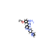 CC(C)Oc1ccc(N)c(C(=N)c2ccnc(N3CCC(n4cccn4)CC3)c2)c1